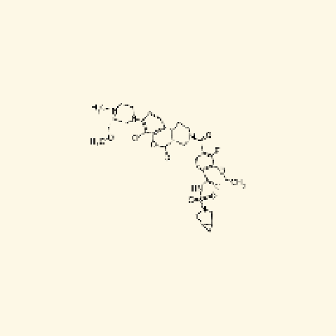 CCOc1c(C(=O)NS(=O)(=O)N2CC3CC3C2)ccc(C(=O)N2CCc3c(c(=O)oc4c(Cl)c(N5CCN(C)[C@@H](COC)C5)ccc34)C2)c1F